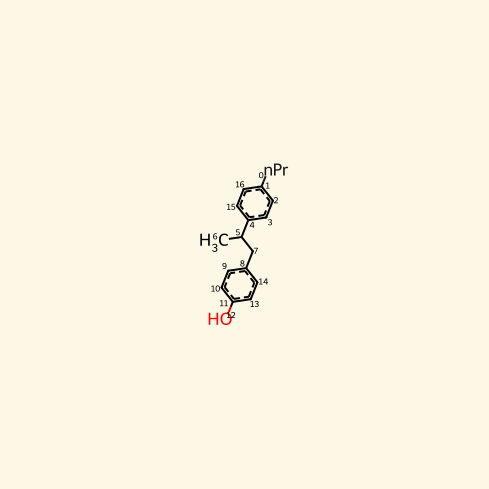 CCCc1ccc(C(C)Cc2ccc(O)cc2)cc1